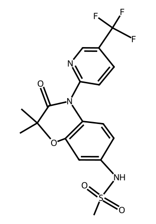 CC1(C)Oc2cc(NS(C)(=O)=O)ccc2N(c2ccc(C(F)(F)F)cn2)C1=O